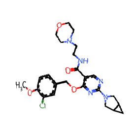 COc1ccc(COc2nc(N3CC4CC4C3)ncc2C(=O)NCCN2CCOCC2)cc1Cl